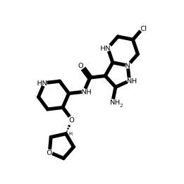 NC1NN2CC(Cl)CNC2C1C(=O)NC1CNCCC1O[C@@H]1CCOC1